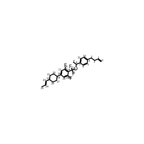 C=CCCc1ccc(C(C)OC(F)(F)c2c(F)cc(C3CCC(/C=C/C)CC3)cc2F)cc1